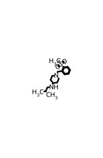 CC(C)CNC1CCN(Cc2ccccc2S(C)(=O)=O)CC1